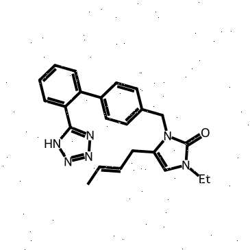 CC=CCc1cn(CC)c(=O)n1Cc1ccc(-c2ccccc2-c2nnn[nH]2)cc1